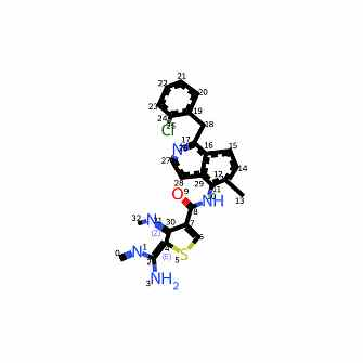 C=N/C(N)=C1/SC=C(C(=O)Nc2c(C)ccc3c(Cc4ccccc4Cl)nccc23)/C1=N/C